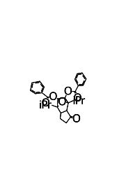 CC(C)C12OC(C(C)C)(C(OC(=O)c3ccccc3)C1OC(=O)c1ccccc1)C1C(=O)CCC12